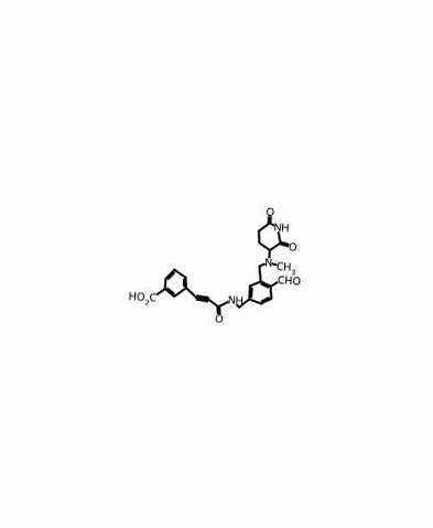 CN(Cc1cc(CNC(=O)C#Cc2cccc(C(=O)O)c2)ccc1C=O)C1CCC(=O)NC1=O